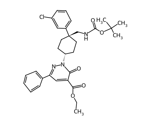 CCOC(=O)c1cc(-c2ccccc2)nn([C@H]2CC[C@@](CNC(=O)OC(C)(C)C)(c3cccc(Cl)c3)CC2)c1=O